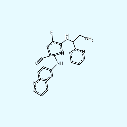 N#Cc1cc(F)c(NC(CN)c2ccccn2)nc1Nc1ccc2ncccc2c1